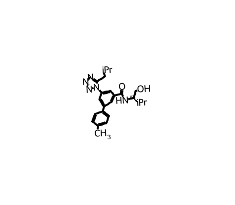 Cc1ccc(-c2cc(C(=O)N[C@@H](CO)C(C)C)cc(-n3nnnc3CC(C)C)c2)cc1